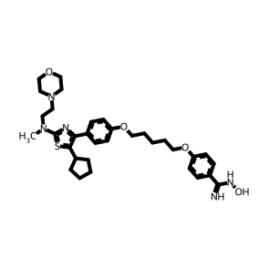 CN(CCN1CCOCC1)c1nc(-c2ccc(OCCCCCOc3ccc(C(=N)NO)cc3)cc2)c(C2CCCC2)s1